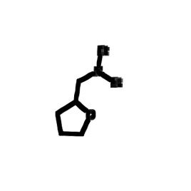 CCN(CC)CC1CCCO1